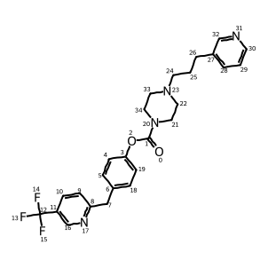 O=C(Oc1ccc(Cc2ccc(C(F)(F)F)cn2)cc1)N1CCN(CCCc2cccnc2)CC1